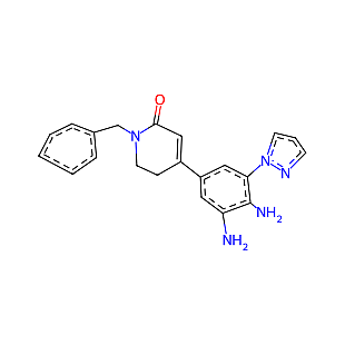 Nc1cc(C2=CC(=O)N(Cc3ccccc3)CC2)cc(-n2cccn2)c1N